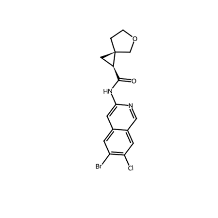 O=C(Nc1cc2cc(Br)c(Cl)cc2cn1)[C@H]1C[C@]12CCOC2